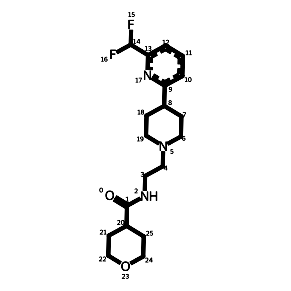 O=C(NCCN1CCC(c2cccc(C(F)F)n2)CC1)C1CCOCC1